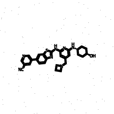 N#Cc1cncc(-c2ccc3nc(Nc4cc(CN5CCC5)cc(N[C@H]5CC[C@H](O)CC5)n4)sc3c2)c1